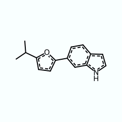 CC(C)c1ccc(-c2ccc3cc[nH]c3c2)o1